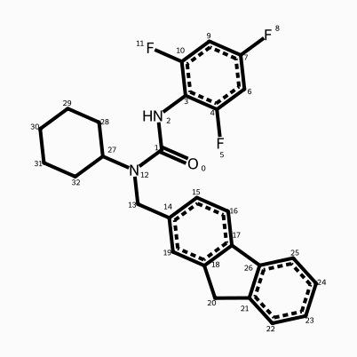 O=C(Nc1c(F)cc(F)cc1F)N(Cc1ccc2c(c1)Cc1ccccc1-2)C1CCCCC1